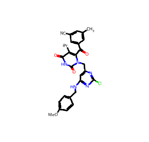 COc1ccc(CNc2cc(Cn3c(C(=O)c4cc(C)cc(C#N)c4)c(C(C)C)c(=O)[nH]c3=O)nc(Cl)n2)cc1